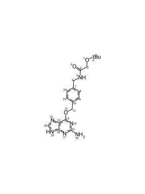 CC(C)(C)OCC(=O)NCc1ccc(COc2nc(N)nc3[nH]cnc23)cc1